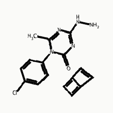 Cc1nc(NN)nc(=O)n1-c1ccc(Cl)cc1.c1cc2ccc1-2